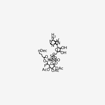 CCCCCCCCCCCCCC(=O)OC[C@H](F)C1O[C@@H](OP(=O)(O)OP(O)(=S)OC[C@H]2O[C@@H](c3nn(C)c4c(N)ncnc34)[C@H](O)[C@H]2O)[C@H](OC(C)=O)[C@@H](OC(C)=O)[C@@H]1OC(C)=O